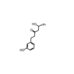 CCCC(O)CC(=O)CCc1cccc(O)c1